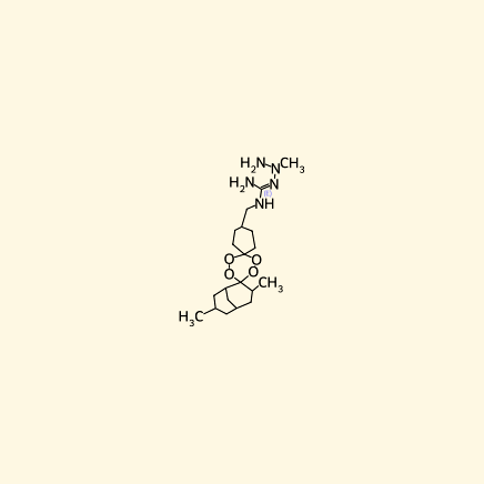 CC1CC2CC(C)C3(OOC4(CCC(CN/C(N)=N/N(C)N)CC4)OO3)C(C1)C2